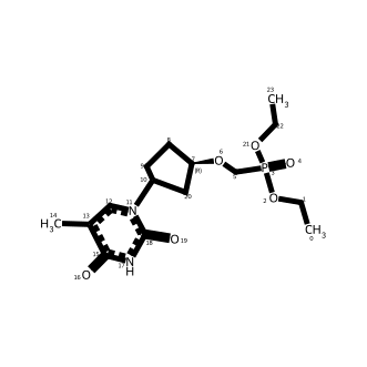 CCOP(=O)(CO[C@@H]1CCC(n2cc(C)c(=O)[nH]c2=O)C1)OCC